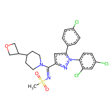 CS(=O)(=O)N=C(c1cc(-c2ccc(Cl)cc2)n(-c2ccc(Cl)cc2Cl)n1)N1CCC(C2COC2)CC1